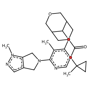 Cc1c(OC2C3COCC2CN(C(=O)OC2(C)CC2)C3)ncnc1N1Cc2cnn(C)c2C1